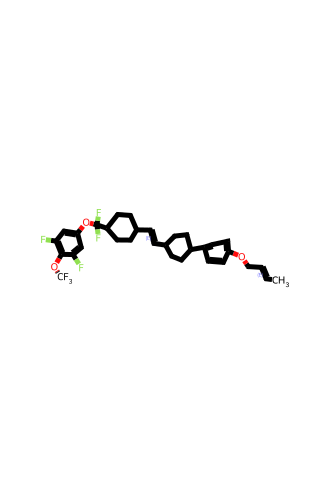 C/C=C/COc1ccc(C2CCC(/C=C/C3CCC(C(F)(F)Oc4cc(F)c(OC(F)(F)F)c(F)c4)CC3)CC2)cc1